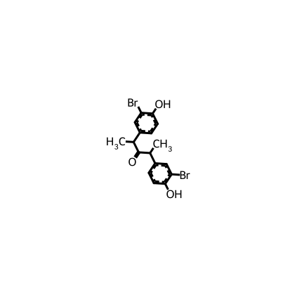 CC(C(=O)C(C)c1ccc(O)c(Br)c1)c1ccc(O)c(Br)c1